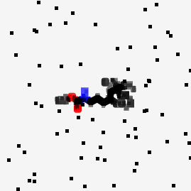 CC(C)(C)OC(=O)NCCCC(CC(C)(C)[N+](=O)[O-])C(=O)O